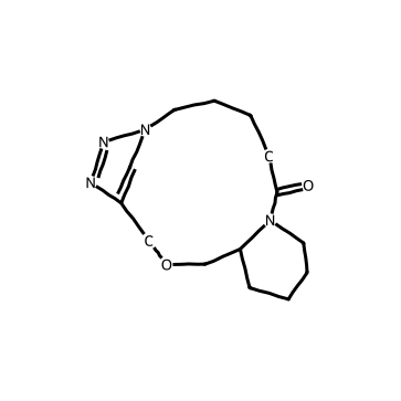 O=C1CCCCn2cc(nn2)COCC2CCCCN12